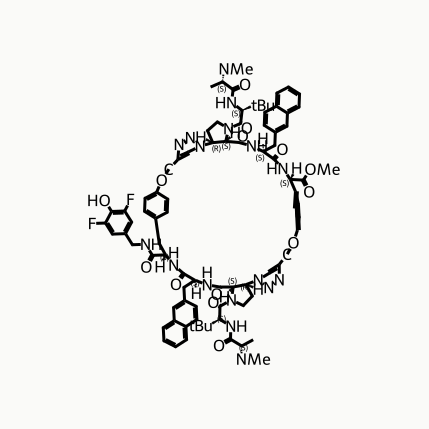 CN[C@@H](C)C(=O)N[C@H](C(=O)N1CC[C@@H]2[C@H]1C(=O)N[C@@H](Cc1ccc3ccccc3c1)C(=O)N[C@H](C(=O)NCc1cc(F)c(O)c(F)c1)Cc1ccc(cc1)OCc1cn(nn1)[C@@H]1CCN(C(=O)[C@@H](NC(=O)[C@H](C)NC)C(C)(C)C)[C@@H]1C(=O)N[C@@H](Cc1ccc3ccccc3c1)C(=O)N[C@H](C(=O)OC)c1ccc(cc1)OCc1cn2nn1)C(C)(C)C